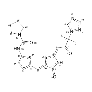 CC(C)(C(=O)/C=c1\[nH]c(=O)/c(=C/c2ccc(NC(=O)N3CCCC3)s2)s1)n1cncn1